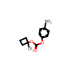 O=C(Oc1ccc([N+](=O)[O-])cc1)OC1(C(F)(F)F)CCC1